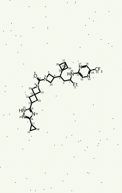 CCC(CC(C1CN(C(=O)N2CC3(CC(c4nc(C5CC5)n[nH]4)C3)C2)C1)C12CC(C1)C2)Nc1cnc(C(F)(F)F)cn1